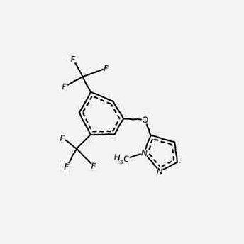 Cn1n[c]cc1Oc1cc(C(F)(F)F)cc(C(F)(F)F)c1